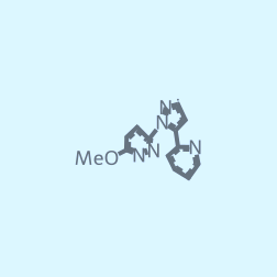 COc1ccc(-n2n[c]cc2-c2ccccn2)nn1